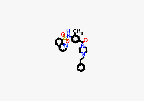 Cc1cc(C(=O)N2CCN(CCc3ccccc3)CC2)ccc1NS(=O)(=O)c1cccc2cccnc12